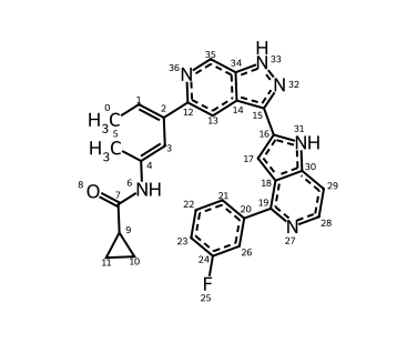 C/C=C(\C=C(/C)NC(=O)C1CC1)c1cc2c(-c3cc4c(-c5cccc(F)c5)nccc4[nH]3)n[nH]c2cn1